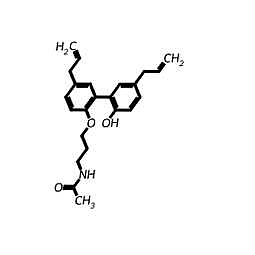 C=CCc1ccc(O)c(-c2cc(CC=C)ccc2OCCCNC(C)=O)c1